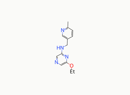 CCOc1cncc(NCc2ccc(C)nc2)n1